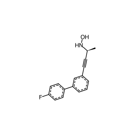 C[C@@H](C#Cc1cccc(-c2ccc(F)cc2)c1)NO